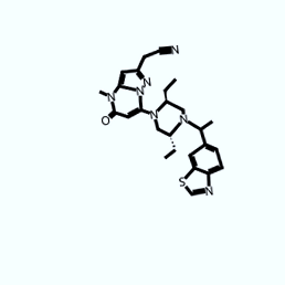 CC[C@H]1CN(C(C)c2ccc3ncsc3c2)[C@H](CC)CN1c1cc(=O)n(C)c2cc(CC#N)nn12